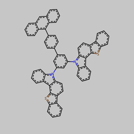 c1ccc2c(-c3ccc(-c4cc(-n5c6ccccc6c6c7sc8ccccc8c7ccc65)cc(-n5c6ccccc6c6c7sc8ccccc8c7ccc65)c4)cc3)c3ccccc3cc2c1